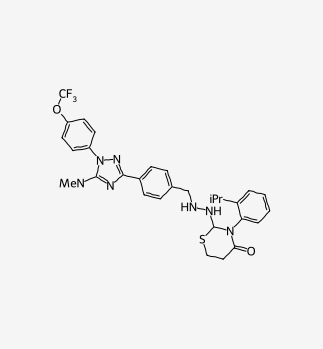 CNc1nc(-c2ccc(CNNC3SCCC(=O)N3c3ccccc3C(C)C)cc2)nn1-c1ccc(OC(F)(F)F)cc1